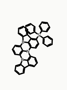 c1ccc([Si](c2ccccc2)(c2ccccc2)c2ccc3c4c2-c2ccccc2B4c2cccc4c2N3c2cccc3c2B4c2ccccc2-3)cc1